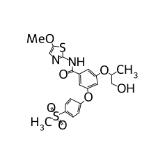 COc1cnc(NC(=O)c2cc(Oc3ccc(S(C)(=O)=O)cc3)cc(OC(C)CO)c2)s1